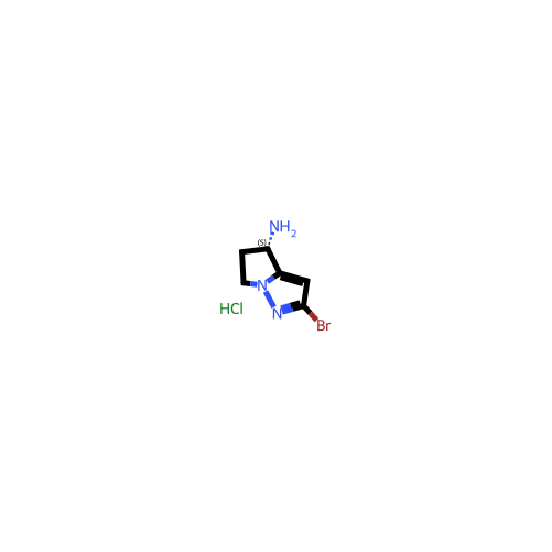 Cl.N[C@H]1CCn2nc(Br)cc21